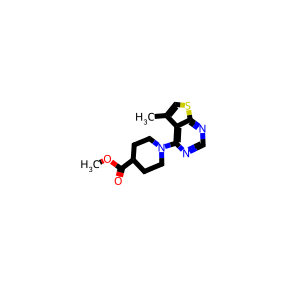 COC(=O)C1CCN(c2ncnc3scc(C)c23)CC1